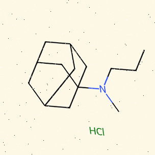 CCCN(C)C12CC3CC(CC(C3)C1)C2.Cl